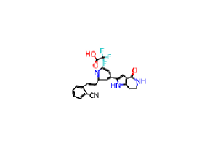 N#Cc1ccccc1/C=C/c1cc(-c2cc3c([nH]2)CCNC3=O)ccn1.O=C(O)C(F)(F)F